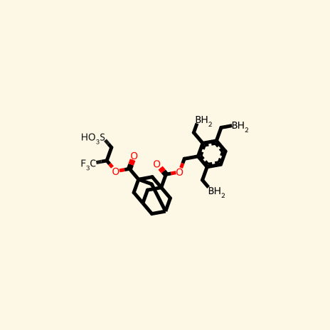 BCc1ccc(CB)c(COC(=O)C23CC4CC(C2)CC(C(=O)OC(CS(=O)(=O)O)C(F)(F)F)(C4)C3)c1CB